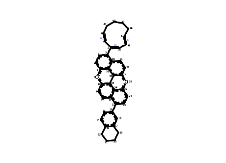 C1=C/C(c2ccc3oc4ccc5c(-c6ccc7c(c6)CCCC7)ccc6oc7ccc2c3c7-c4c65)=C\C=C\CCCC\1